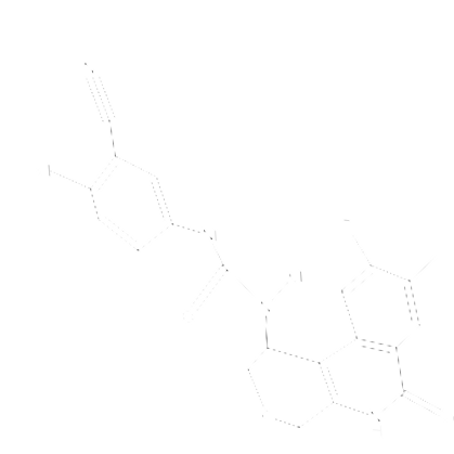 CN(C(=O)Nc1ccc(Cl)c(C#N)c1)C1COCc2[nH]c(=O)c3cc(F)c(F)cc3c21